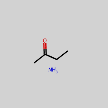 CCC(C)=O.N